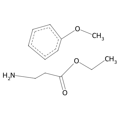 CCOC(=O)CCN.COc1ccccc1